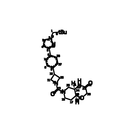 CC(C)(C)Cn1ccc(-c2ccc(C3CN(C(=O)N4CC[C@@H]5OCC(=O)N[C@@H]5C4)C3)cc2)n1